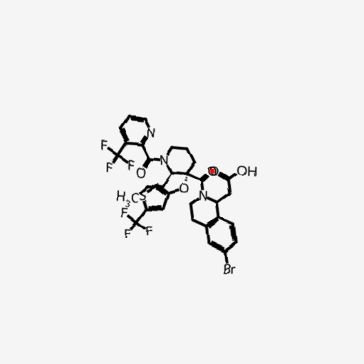 CCC[C@H]1N(C(=O)c2ncccc2C(F)(F)F)CCC[C@@]1(Oc1csc(C(F)(F)F)c1)C(=O)N1CCc2cc(Br)ccc2C1CC(=O)O